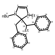 CCCCN1C=CN(CC)C1(Cc1ccccc1)C(CC)c1ccccc1